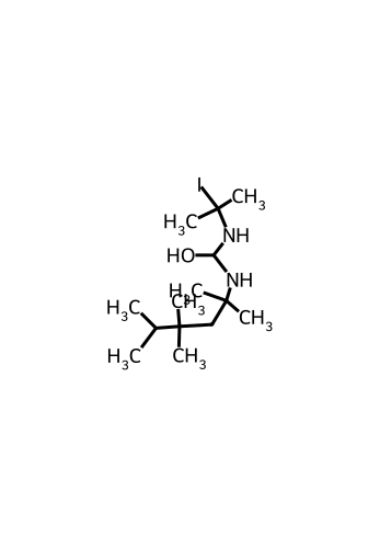 CC(C)C(C)(C)CC(C)(C)NC(O)NC(C)(C)I